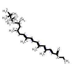 CCOC(=O)/C=C/C(C)=C/C(C)=C/C=C/C(C)=C/C[C@@H](C)C[C@H](C)O[Si](C)(C)C(C)(C)C